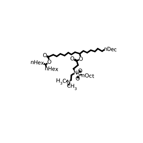 CCCCCCCCCCCCCCCCC(CCCCCCCC(=O)OC(CCCCCC)CCCCCC)OC(=O)CCN(CCN(C)C)S(=O)(=O)CCCCCCCC